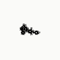 CN1CCC(COc2c(F)cc(Nc3ncc(C(F)(F)F)c(N4OCCC4c4ccccc4)n3)cc2F)CC1